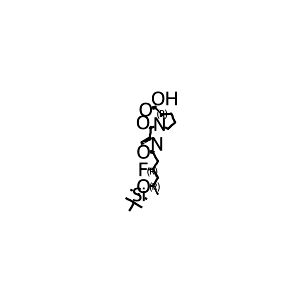 C[C@H](C[C@@H](F)Cc1nc(C(=O)N2CCC[C@@H]2C(=O)O)co1)O[Si](C)(C)C(C)(C)C